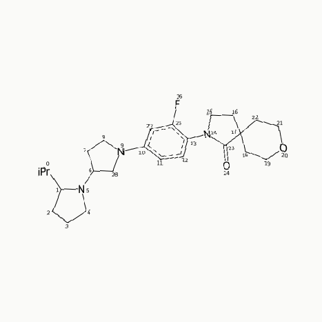 CC(C)C1CCCN1C1CCN(c2ccc(N3CCC4(CCOCC4)C3=O)c(F)c2)C1